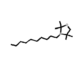 CCCCCCCCCCN1C(C)(C)COC1(C)C